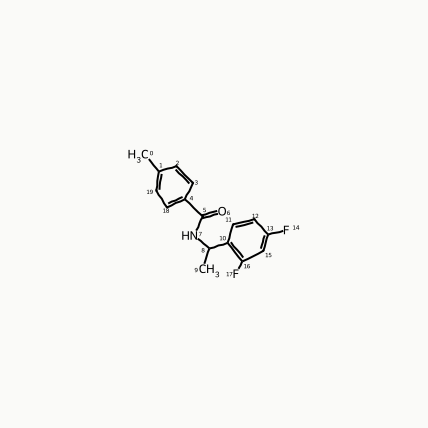 Cc1ccc(C(=O)NC(C)c2ccc(F)cc2F)cc1